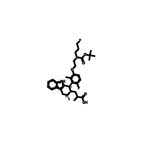 Cc1c(OCCN(CCCF)C(=O)OC(C)(C)C)ccc(F)c1[C@@H]1c2[nH]c3ccccc3c2C[C@@H](C)N1CC(C)C(=O)O